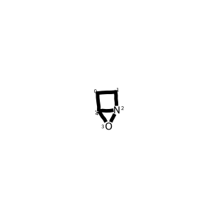 C1CN2O[C]12